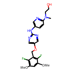 COc1cc(OC)c(F)c(COc2cnc(Nc3ccc(N(C)CCO)nc3)nc2)c1F